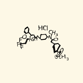 CCN(C(=O)Cc1ccc(S(C)(=O)=O)cc1)C1CCN(CCC([AsH]C(=O)CC(F)(F)F)c2ccccc2)CC1.Cl